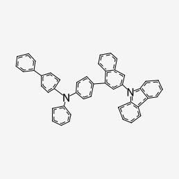 c1ccc(-c2ccc(N(c3ccccc3)c3ccc(-c4cc(-n5c6ccccc6c6ccccc65)cc5ccccc45)cc3)cc2)cc1